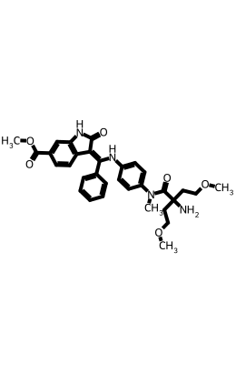 COCCC(N)(CCOC)C(=O)N(C)c1ccc(N/C(=C2\C(=O)Nc3cc(C(=O)OC)ccc32)c2ccccc2)cc1